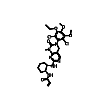 C=CC(=O)N[C@H]1CCCC[C@H]1Nc1ncc2c(n1)N(C)C(=O)N(c1c(Cl)c(OC)c(OC)c(OCC)c1Cl)C2